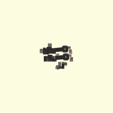 CCCC[O-].CCCC[O-].[Li+].[Li+]